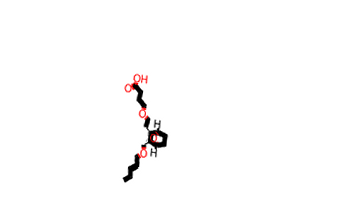 CCC=CCOC[C@@H]1[C@H](CCOCCCC(=O)O)[C@@H]2CC[C@H]1O2